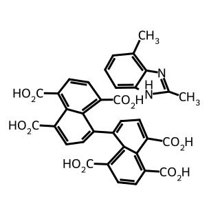 Cc1nc2c(C)cccc2[nH]1.O=C(O)c1ccc(C(=O)O)c2c(-c3ccc(C(=O)O)c4c(C(=O)O)ccc(C(=O)O)c34)ccc(C(=O)O)c12